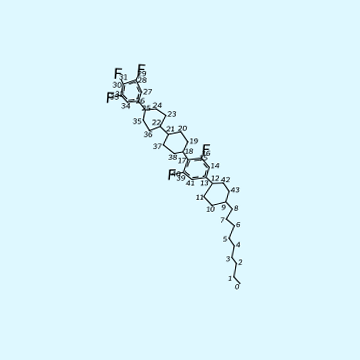 CCCCCCCCCC1CCC(c2cc(F)c(C3CCC(C4CCC(c5cc(F)c(F)c(F)c5)CC4)CC3)c(F)c2)CC1